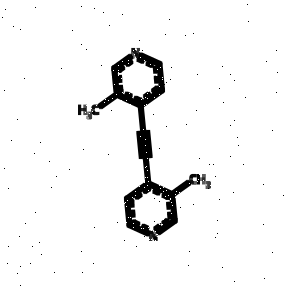 Cc1cnccc1C#Cc1ccncc1C